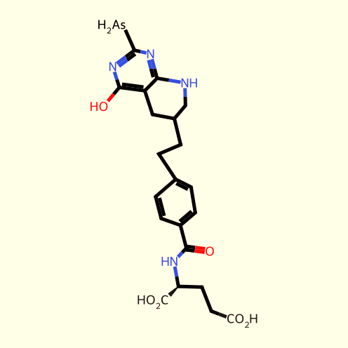 O=C(O)CC[C@H](NC(=O)c1ccc(CCC2CNc3nc([AsH2])nc(O)c3C2)cc1)C(=O)O